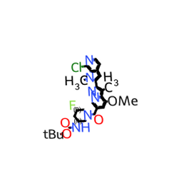 COc1cc(C(=O)N2C[C@H](F)C[C@@H](NC(=O)OC(C)(C)C)C2)cn2nc(-c3cc4ccnc(Cl)c4n3C)c(C)c12